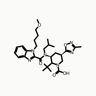 COCCCCn1c(C(=O)N(CC(C)C)[C@H]2C[C@@H](c3nc(C)no3)CN(C(=O)O)C2C(C)(C)C)nc2ccccc21